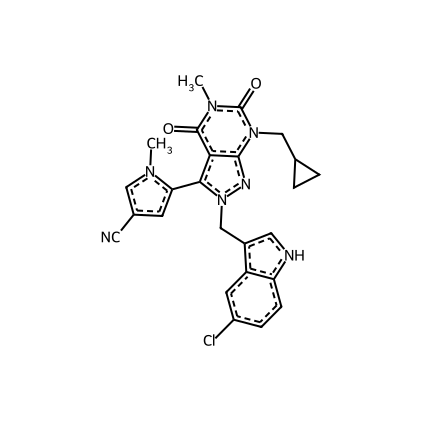 Cn1cc(C#N)cc1-c1c2c(=O)n(C)c(=O)n(CC3CC3)c2nn1Cc1c[nH]c2ccc(Cl)cc12